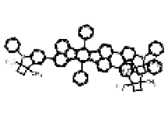 CC12CCC1(C)N(c1ccccc1)c1ccc(-c3ccc4c5c(-c6ccccc6)c6c7ccc(-c8ccc9c(c8)C8(C)CCC8(C)N9c8ccccc8)c8c(-c9ccc%10c(c9)C9(C)CCC9(C)N%10c9ccccc9)ccc(c6c(-c6ccccc6)c5c5cccc3c54)c87)cc12